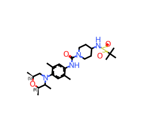 Cc1cc(N2C[C@H](C)O[C@H](C)C2C)c(C)cc1NC(=O)N1CCC(NS(=O)(=O)C(C)(C)C)CC1